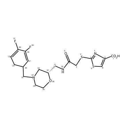 O=C(CSc1nc(C(=O)O)cs1)NC[C@H]1CN(CC2C=C(F)C(F)=CC2)CCO1